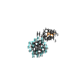 Cc1cccc(C)c1[PH+](c1c(C)cccc1C)c1c(C)cccc1C.Fc1ccc2c([B-](c3c(F)c(F)c(F)c4c(F)c(F)ccc34)(c3c(F)c(F)c(F)c4c(F)c(F)ccc34)c3c(F)c(F)c(F)c4c(F)c(F)ccc34)c(F)c(F)c(F)c2c1F